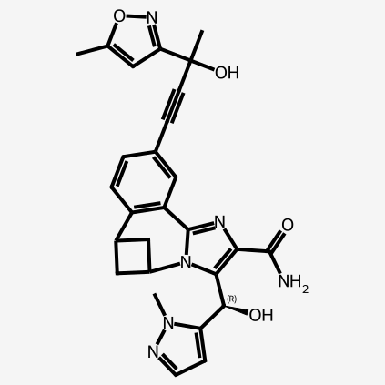 Cc1cc(C(C)(O)C#Cc2ccc3c(c2)-c2nc(C(N)=O)c([C@@H](O)c4ccnn4C)n2C2CC3C2)no1